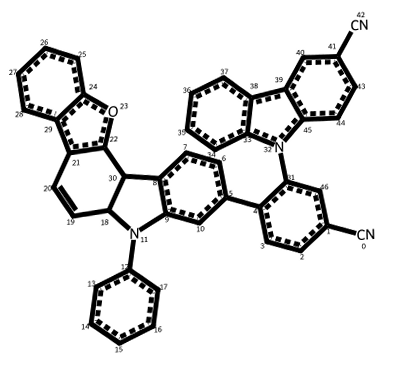 N#Cc1ccc(-c2ccc3c(c2)N(c2ccccc2)C2C=Cc4c(oc5ccccc45)C32)c(-n2c3ccccc3c3cc(C#N)ccc32)c1